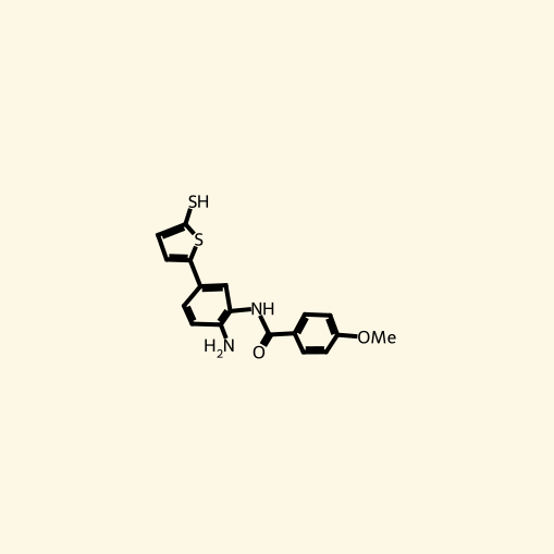 COc1ccc(C(=O)Nc2cc(-c3ccc(S)s3)ccc2N)cc1